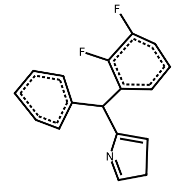 Fc1cccc(C(C2=CCC=N2)c2ccccc2)c1F